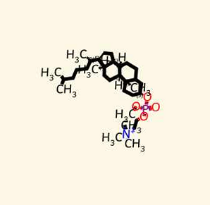 COP(=O)(OCC[N+](C)(C)C)O[C@H]1CC[C@@]2(C)C(CC[C@H]3[C@@H]4CC[C@H]([C@H](C)CCCC(C)C)[C@@]4(C)CC[C@@H]32)C1